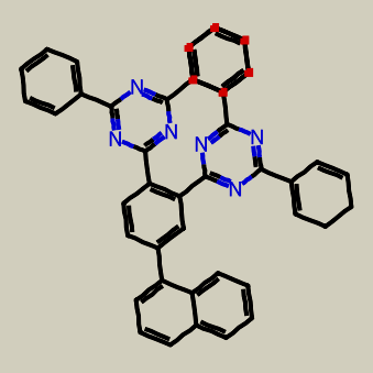 C1=CC(c2nc(-c3ccccc3)nc(-c3ccc(-c4cccc5ccccc45)cc3-c3nc(C4=CCCC=C4)nc(-c4ccccc4)n3)n2)=CCC1